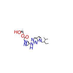 CCC(Cn1ccc2cnc(Nc3cnn(CC(=O)OC[C@@H](C)O)c3)nc21)C(C)C